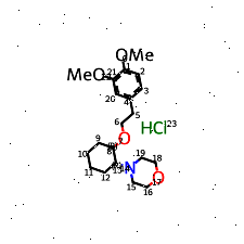 COc1ccc(CCO[C@@H]2CCCC[C@H]2N2CCOCC2)cc1OC.Cl